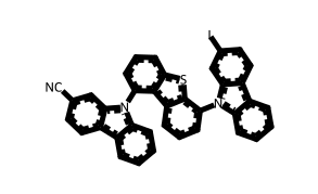 N#Cc1ccc2c3ccccc3n(-c3cccc4sc5c(-n6c7ccccc7c7ccc(I)cc76)cccc5c34)c2c1